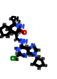 Cc1[nH]c(=O)c(CNc2nc(Cl)nc3c2ncn3C2CCCC2)c2c1CCCC2